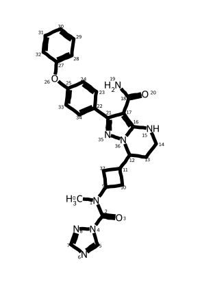 CN(C(=O)n1cncn1)C1CC(C2CCNc3c(C(N)=O)c(-c4ccc(Oc5ccccc5)cc4)nn32)C1